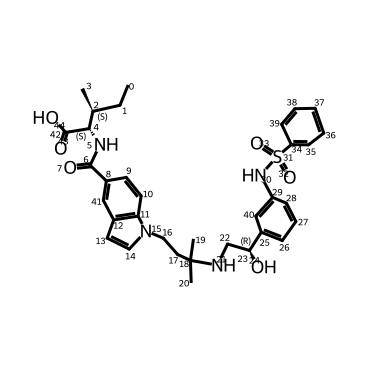 CC[C@H](C)[C@H](NC(=O)c1ccc2c(ccn2CCC(C)(C)NC[C@H](O)c2cccc(NS(=O)(=O)c3ccccc3)c2)c1)C(=O)O